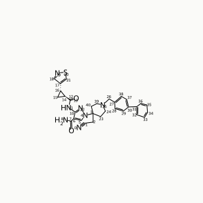 N#CCC1(n2cc(C(N)=O)c(NC(=O)[C@H]3C[C@@H]3c3cnsc3)n2)CCN(Cc2ccc(-c3ccccc3)cc2)CC1